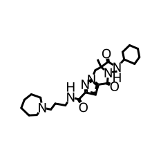 CN1C(=O)c2cc(C(=O)NCCCN3CCCCCC3)nn2CC1(C)C(=O)NC1CCCCC1